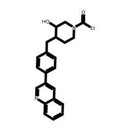 CCC(=O)N1CCC(Cc2ccc(-c3cnc4ccccc4c3)cc2)C(O)C1